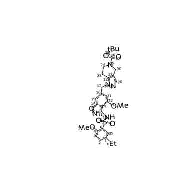 CCc1ccc(OC)c(S(=O)(=O)Nc2noc3cc(Cn4ncc5c4CCN(C(=O)OC(C)(C)C)C5)cc(OC)c23)c1